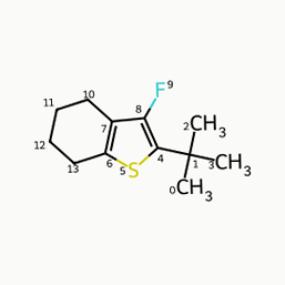 CC(C)(C)c1sc2c(c1F)CCCC2